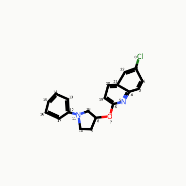 Clc1ccc2nc(OC3CCN(c4ccccc4)C3)ccc2c1